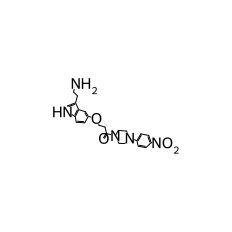 NCCc1c[nH]c2ccc(OCCC(=O)N3CCN(c4ccc([N+](=O)[O-])cc4)CC3)cc12